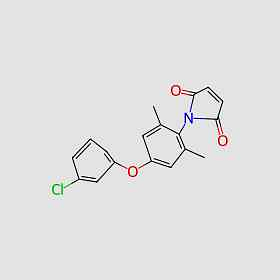 Cc1cc(Oc2cccc(Cl)c2)cc(C)c1N1C(=O)C=CC1=O